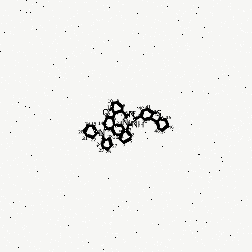 c1ccc(C2N=C(c3cccc4oc5cc(N(c6ccccc6)c6ccccc6)c6ccccc6c5c34)N=C(c3ccc4sc5ccccc5c4c3)N2)cc1